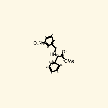 COC(=O)[C@@H](NCc1cccc([N+](=O)[O-])c1)c1ccccc1